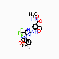 CONC(=O)c1ccc(Nc2ncc(C(F)(F)F)c(Nc3ccccc3P(C)(C)=O)n2)c2c1CCO2